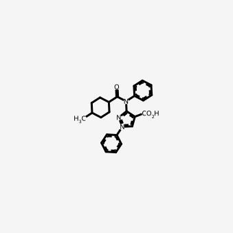 CC1CCC(C(=O)N(c2ccccc2)c2nn(-c3ccccc3)cc2C(=O)O)CC1